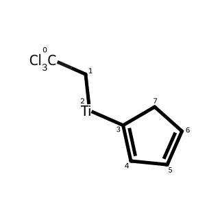 ClC(Cl)(Cl)[CH2][Ti][C]1=CC=CC1